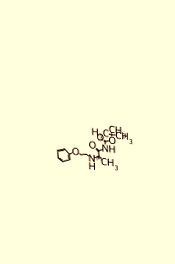 C[C@@H](NCCOc1ccccc1)C(=O)NC(=O)OC(C)(C)C